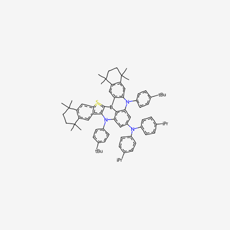 CC(C)c1ccc(N(c2ccc(C(C)C)cc2)c2cc3c4c(c2)N(c2ccc(C(C)(C)C)cc2)c2c(sc5cc6c(cc25)C(C)(C)CCC6(C)C)B4c2cc4c(cc2N3c2ccc(C(C)(C)C)cc2)C(C)(C)CCC4(C)C)cc1